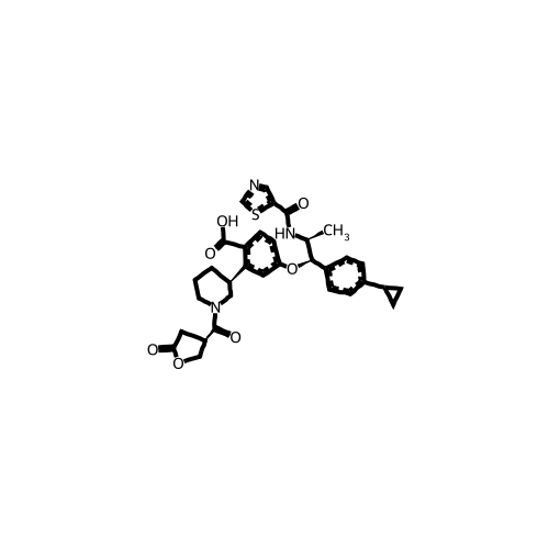 C[C@H](NC(=O)c1cncs1)[C@H](Oc1ccc(C(=O)O)c([C@@H]2CCCN(C(=O)[C@H]3COC(=O)C3)C2)c1)c1ccc(C2CC2)cc1